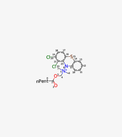 CCCCCC(=O)OC[N+](C)(C)N1c2ccccc2Sc2ccc(Cl)c(Cl)c21